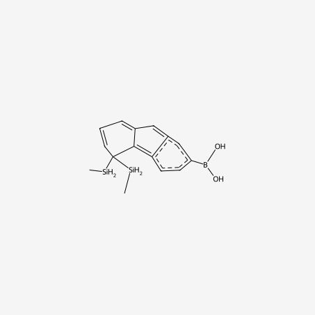 C[SiH2]C1([SiH2]C)C=CC=C2C=c3cc(B(O)O)ccc3=C21